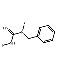 N=C(NI)N(F)Cc1ccccc1